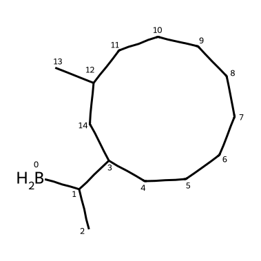 BC(C)C1CCCCCCCCC(C)C1